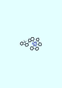 CC1(C)c2ccccc2-c2cccc(-c3ccc4cccc(-c5nc(-c6ccccc6-c6ccccc6)nc(-c6ccccc6-c6ccccc6)n5)c4c3)c21